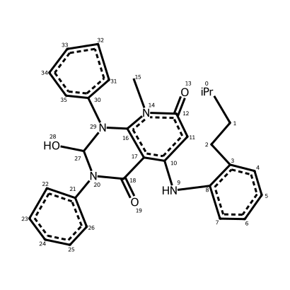 CC(C)CCc1ccccc1Nc1cc(=O)n(C)c2c1C(=O)N(c1ccccc1)C(O)N2c1ccccc1